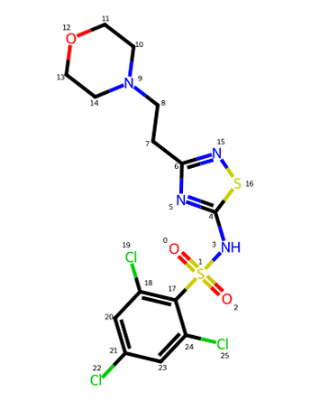 O=S(=O)(Nc1nc(CCN2CCOCC2)ns1)c1c(Cl)cc(Cl)cc1Cl